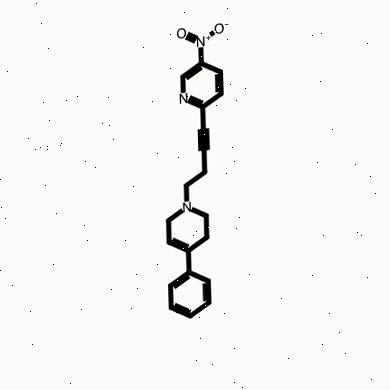 O=[N+]([O-])c1ccc(C#CCCN2CC=C(c3ccccc3)CC2)nc1